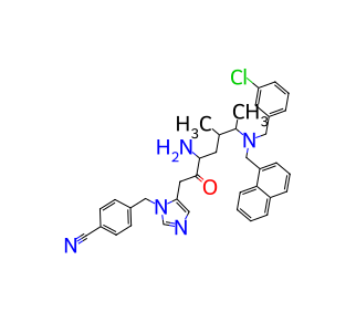 CC(CC(N)C(=O)Cc1cncn1Cc1ccc(C#N)cc1)C(C)N(Cc1cccc(Cl)c1)Cc1cccc2ccccc12